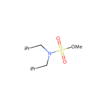 COS(=O)(=O)N(CC(C)C)CC(C)C